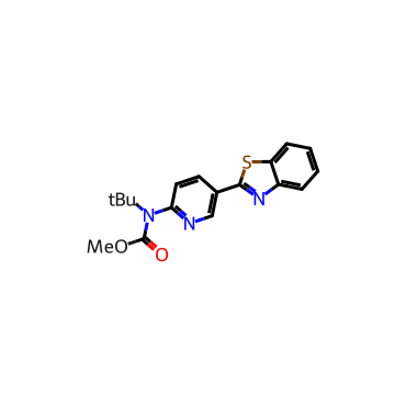 COC(=O)N(c1ccc(-c2nc3ccccc3s2)cn1)C(C)(C)C